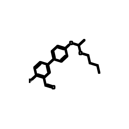 CCCCOC(C)Oc1ccc(-c2ccc(F)c(C=O)c2)cc1